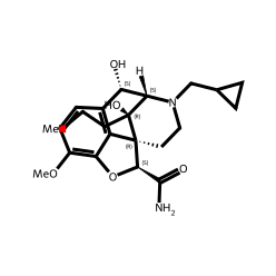 CNCC[C@]1(O)[C@@H]2[C@@H](O)c3ccc(OC)c4c3[C@]1(CCN2CC1CC1)[C@@H](C(N)=O)O4